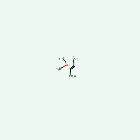 O=C(O)/C=C/C(=O)O.[SiH3]O[SiH3]